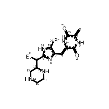 C=c1[nH]c(=O)c(=Cc2nc(C(CC)C3CNCCN3)[nH]c2C(C)C)[nH]c1=O